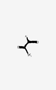 CC(=O)C(=O)C(N)=O